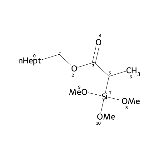 CCCCCCCCOC(=O)C(C)[Si](OC)(OC)OC